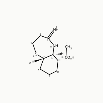 CC(=O)O.N=C1CCS[C@H]2CCCC[C@@H]2N1